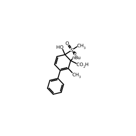 CCCCC1(C(=O)O)C(C)=C(c2ccccc2)C=CC1(O)S(C)(=O)=O